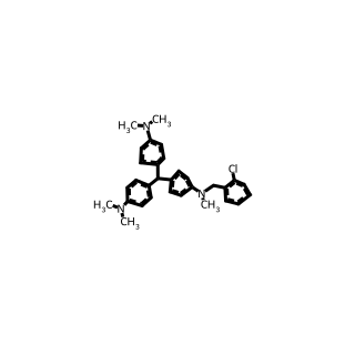 CN(C)c1ccc(C(c2ccc(N(C)C)cc2)c2ccc(N(C)Cc3ccccc3Cl)cc2)cc1